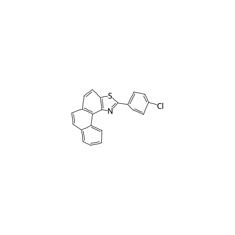 Clc1ccc(-c2nc3c(ccc4ccc5ccccc5c43)s2)cc1